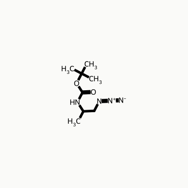 CC(CN=[N+]=[N-])NC(=O)OC(C)(C)C